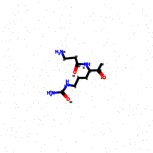 CC(=O)C(CCCNC(N)=O)NC(=O)CCN